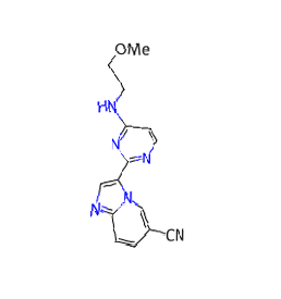 COCCNc1ccnc(-c2cnc3ccc(C#N)cn23)n1